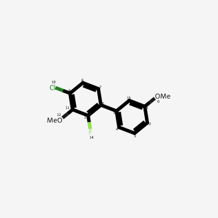 COc1cccc(-c2ccc(Cl)c(OC)c2F)c1